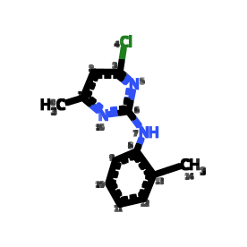 Cc1cc(Cl)nc(Nc2ccccc2C)n1